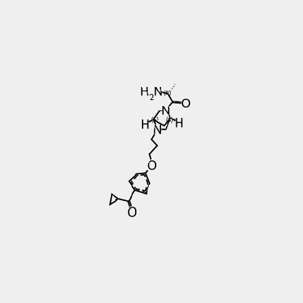 C[C@@H](N)C(=O)N1C[C@@H]2C[C@H]1CN2CCCOc1ccc(C(=O)C2CC2)cc1